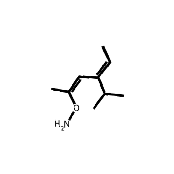 C/C=C(\C=C(\C)ON)C(C)C